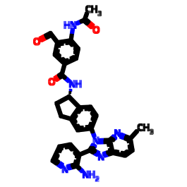 CC(=O)Nc1ccc(C(=O)N[C@H]2CCc3cc(-n4c(-c5cccnc5N)nc5ccc(C)nc54)ccc32)cc1C=O